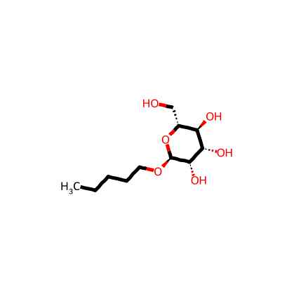 CCCCCO[C@H]1O[C@H](CO)[C@@H](O)[C@H](O)[C@@H]1O